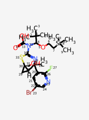 CC(C)(C)C(OCC[Si](C)(C)C)N(C(=O)O)C1=N[C@](C)(c2cc(Br)cnc2F)[C@@H]2C[C@]2(CO)S1